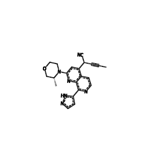 CC#CC(C#N)c1cc(N2CCOC[C@H]2C)nc2c(-c3ccn[nH]3)nccc12